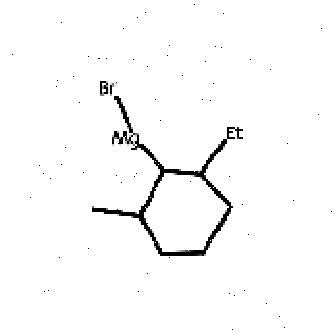 CCC1CCCC(C)[CH]1[Mg][Br]